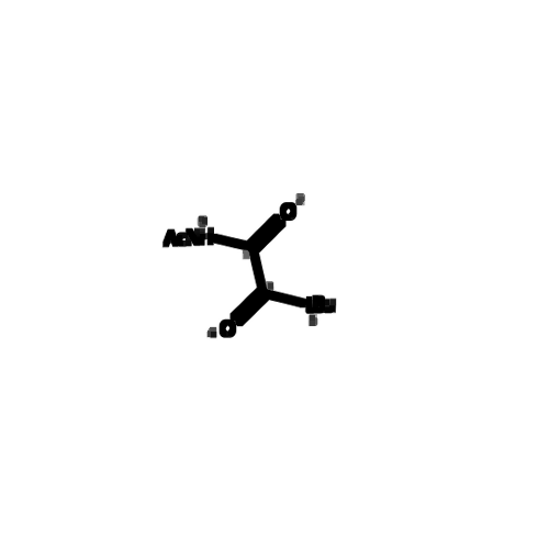 CC(=O)NC(=O)C(=O)C(C)(C)C